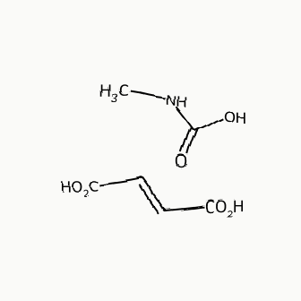 CNC(=O)O.O=C(O)/C=C/C(=O)O